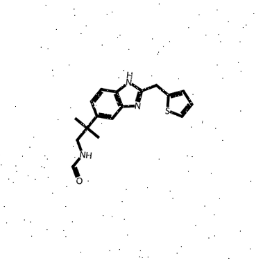 CC(C)(CNC=O)c1ccc2[nH]c(Cc3cccs3)nc2c1